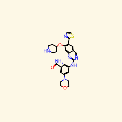 NC(=O)c1cc(Nc2ncc3cc(-c4nccs4)c(OC4CCNCC4)cc3n2)cc(N2CCOCC2)c1